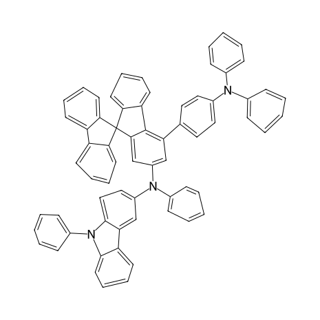 c1ccc(N(c2ccccc2)c2ccc(-c3cc(N(c4ccccc4)c4ccc5c(c4)c4ccccc4n5-c4ccccc4)cc4c3-c3ccccc3C43c4ccccc4-c4ccccc43)cc2)cc1